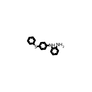 Nc1ccccc1Nc1ccc(Sc2ccccc2)cc1